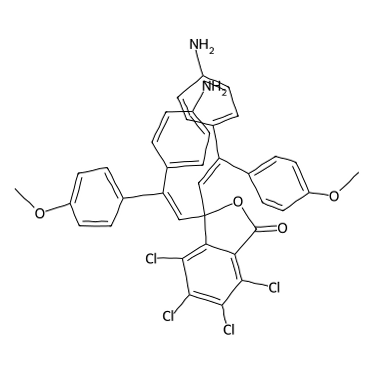 COc1ccc(C(=CC2(C=C(c3ccc(N)cc3)c3ccc(OC)cc3)OC(=O)c3c(Cl)c(Cl)c(Cl)c(Cl)c32)c2ccc(N)cc2)cc1